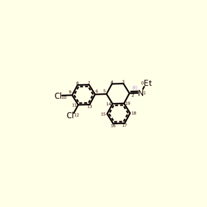 CC/N=C1\CCC(c2ccc(Cl)c(Cl)c2)c2ccccc21